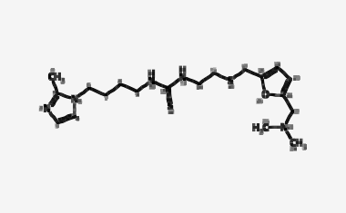 Cc1nccn1CCCCNC(=S)NCCSCc1ccc(CN(C)C)o1